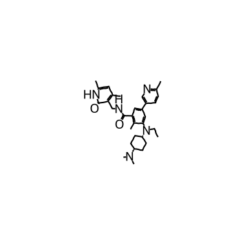 CCN(c1cc(-c2ccc(C)nc2)cc(C(=O)NCc2c(C)cc(C)[nH]c2=O)c1C)[C@H]1CC[C@H](N(C)C)CC1